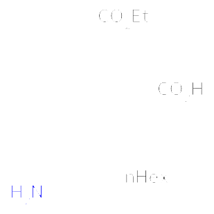 CCCCCCc1c(N)ccc(C(=O)OCC)c1C(=O)O